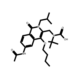 CCCCOc1c(CN(C(=O)O)C(C)(C)C)n(CC(C)C)c(=O)c2ccc(NC(C)=O)cc12